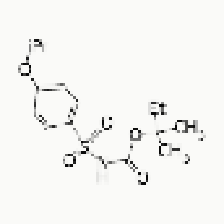 CCC(C)(C)OC(=O)NS(=O)(=O)c1ccc(OC(C)C)cc1